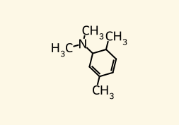 CC1=CC(N(C)C)C(C)C=C1